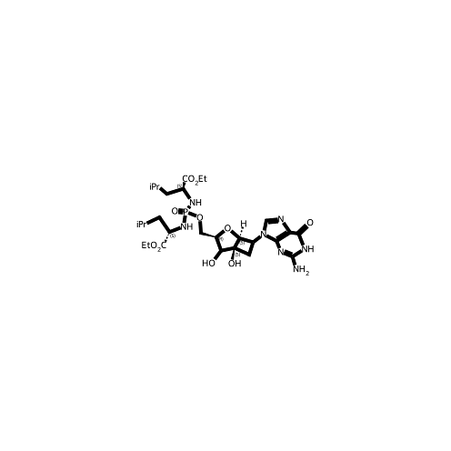 CCOC(=O)[C@H](CC(C)C)NP(=O)(N[C@@H](CC(C)C)C(=O)OCC)OC[C@H]1O[C@H]2C(n3cnc4c(=O)[nH]c(N)nc43)C[C@]2(O)C1O